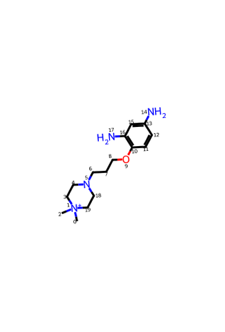 C[N+]1(C)CCN(CCCOc2ccc(N)cc2N)CC1